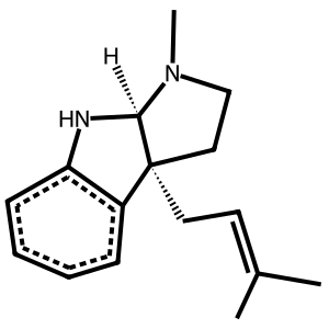 CC(C)=CC[C@@]12CCN(C)[C@@H]1Nc1ccccc12